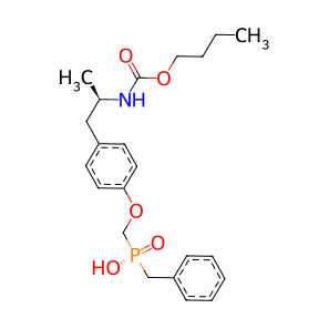 CCCCOC(=O)N[C@H](C)Cc1ccc(OC[P@](=O)(O)Cc2ccccc2)cc1